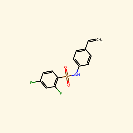 C=Cc1ccc(NS(=O)(=O)c2ccc(F)cc2F)cc1